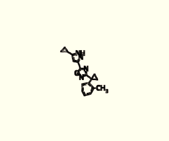 Cc1ccccc1C1(c2noc(-c3cc(C4CC4)[nH]n3)n2)CC1